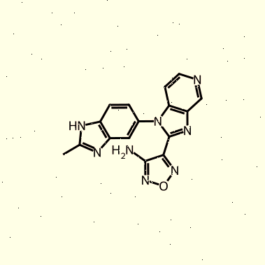 Cc1nc2cc(-n3c(-c4nonc4N)nc4cnccc43)ccc2[nH]1